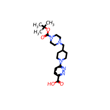 CC(C)(C)OC(=O)N1CCN(CC2CCN(c3ccc(C(=O)O)nn3)CC2)CC1